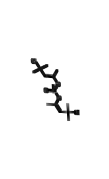 CC(=CC(C)(C)Cl)O[PH](=O)OC(C)=CC(C)(C)Cl